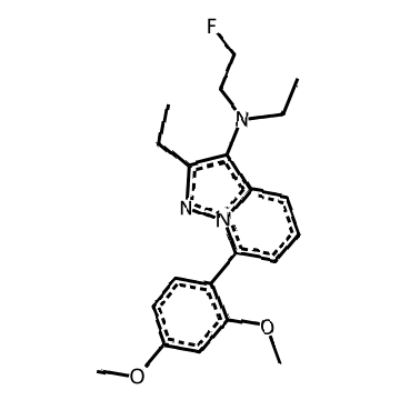 CCc1nn2c(-c3ccc(OC)cc3OC)cccc2c1N(CC)CCF